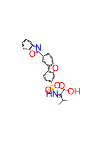 CC(C)[C@H](NS(=O)(=O)c1ccc2c(c1)oc1ccc(-c3nc4ccccc4o3)cc12)C(=O)O